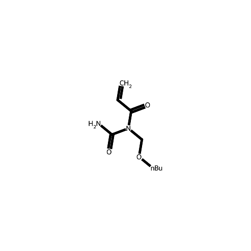 C=CC(=O)N(COCCCC)C(N)=O